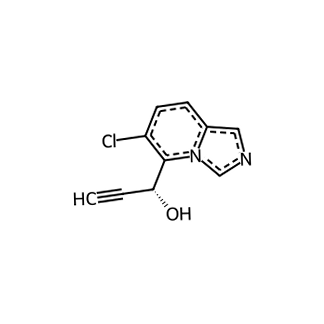 C#C[C@@H](O)c1c(Cl)ccc2cncn12